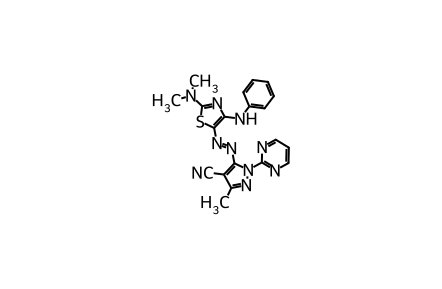 Cc1nn(-c2ncccn2)c(/N=N/c2sc(N(C)C)nc2Nc2ccccc2)c1C#N